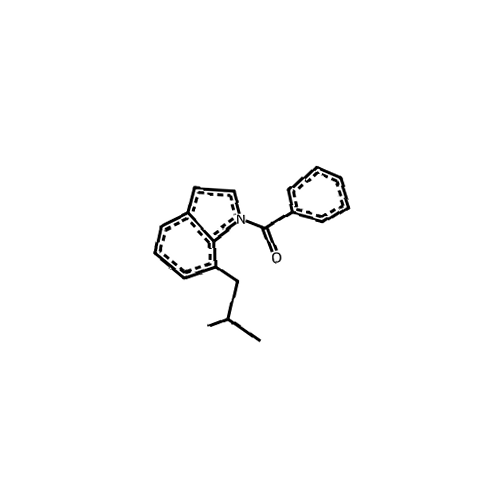 CC(C)Cc1cccc2ccn(C(=O)c3ccccc3)c12